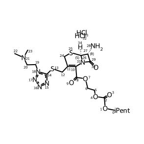 CCCC(C)OC(=O)OCCOC(=O)C1=C(CSc2nnnn2CCN(C)C)CS[C@H]2[C@H](N)C(=O)N12.Cl.Cl